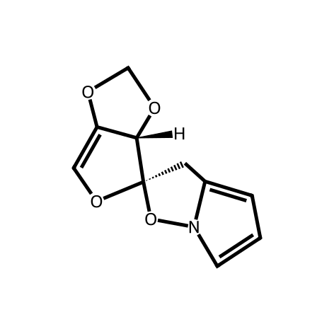 C1=C2OCO[C@@H]2[C@]2(Cc3cccn3O2)O1